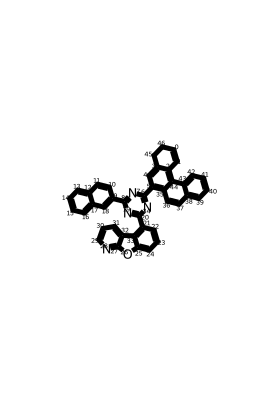 C1=Cc2c(cc(-c3nc(-c4ccc5ccccc5c4)nc(-c4cccc5oc6ncccc6c45)n3)c3ccc4ccccc4c23)CC1